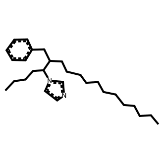 CCCCCCCCCCCCC(Cc1ccccc1)C(CCCC)n1ccnc1